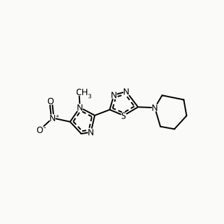 Cn1c([N+](=O)[O-])cnc1-c1nnc(N2CCCCC2)s1